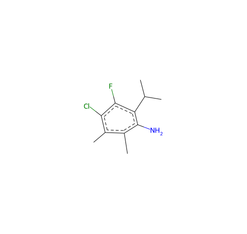 Cc1c(C)c(Cl)c(F)c(C(C)C)c1N